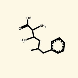 CC(Cc1ccccc1)CC(N)C(N)C(=O)O